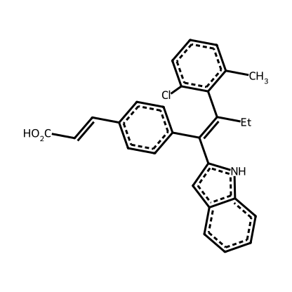 CC/C(=C(/c1ccc(/C=C/C(=O)O)cc1)c1cc2ccccc2[nH]1)c1c(C)cccc1Cl